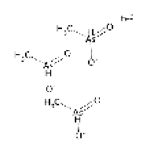 C[AsH](=O)[O-].C[AsH](=O)[O-].C[AsH](=O)[O-].[Fe+3]